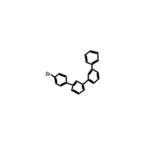 Brc1ccc(-c2cccc(-c3cccc(-c4ccccc4)c3)c2)cc1